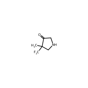 CC1(C(F)(F)F)CNCC1=O